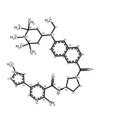 CCN(c1ccc2cc(C(=O)N3CC[C@@H](NC(=O)c4cc(-c5cnn(C)c5)cnc4N)C3)ccc2c1)C1CC(C)(C)N(C)C(C)(C)C1